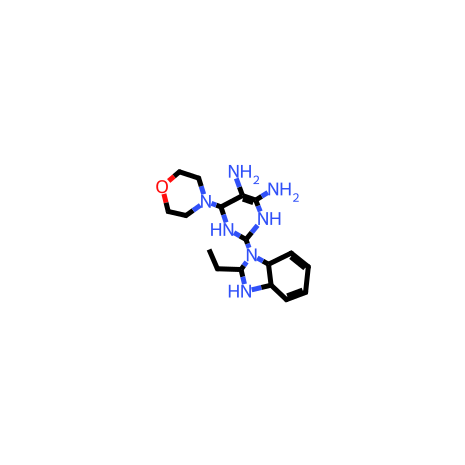 CCC1NC2C=CC=CC2N1C1NC(N)=C(N)C(N2CCOCC2)N1